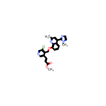 COC(=O)C=Cc1cncc(Cl)c1COc1cccc2c(-c3nccn3C)cc(C)nc12